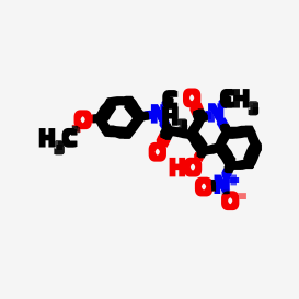 COc1ccc(N(C)C(=O)c2c(O)c3c([N+](=O)[O-])cccc3n(C)c2=O)cc1